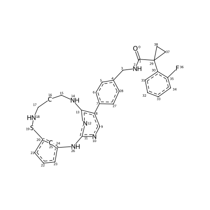 O=C(NCc1ccc(-c2cnc3nc2NCCCNSc2cccc(c2)N3)cc1)C1(c2ccccc2F)CC1